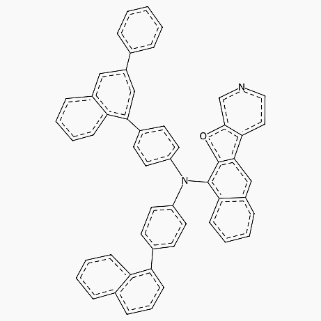 c1ccc(-c2cc(-c3ccc(N(c4ccc(-c5cccc6ccccc56)cc4)c4c5ccccc5cc5c4oc4cnccc45)cc3)c3ccccc3c2)cc1